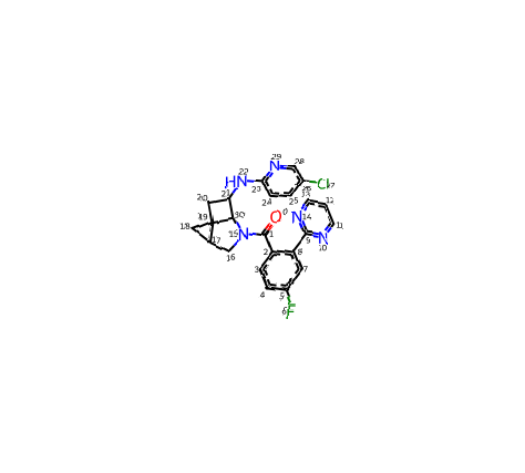 O=C(c1ccc(F)cc1-c1ncccn1)N1CC2CC23CC(Nc2ccc(Cl)cn2)C13